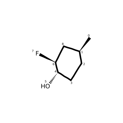 C[C@H]1CC[C@H](O)[C@@H](F)C1